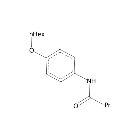 CCCCCCOc1ccc(NC(=O)C(C)C)cc1